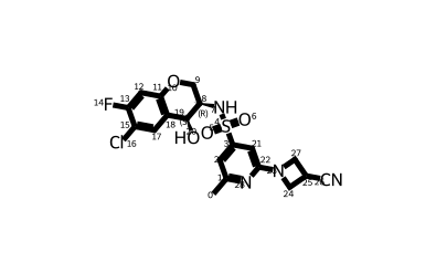 Cc1cc(S(=O)(=O)N[C@@H]2COc3cc(F)c(Cl)cc3[C@@H]2O)cc(N2CC(C#N)C2)n1